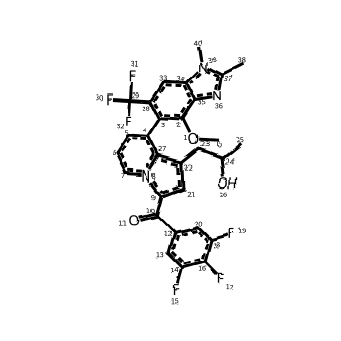 COc1c(-c2cccn3c(C(=O)c4cc(F)c(F)c(F)c4)cc(CC(C)O)c23)c(C(F)(F)F)cc2c1nc(C)n2C